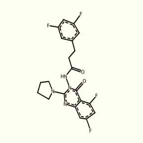 O=C(CCc1cc(F)cc(F)c1)Nn1c(N2CCCC2)nc2cc(F)cc(F)c2c1=O